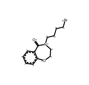 O=C1c2ccccc2OCCN1CCCCBr